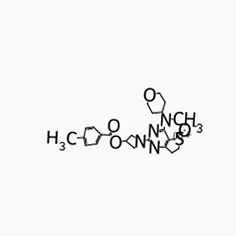 Cc1ccc(C(=O)OC2CN(c3nc4c(c(N(C)C5CCOCC5)n3)[S@@+]([O-])CC4)C2)cc1